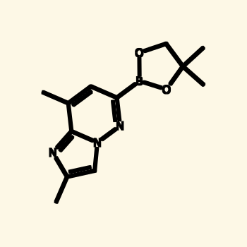 Cc1cn2nc(B3OCC(C)(C)O3)cc(C)c2n1